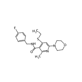 CCSc1cc(N2CCOCC2)nc(C)c1C(=O)NCc1ccc(F)cc1